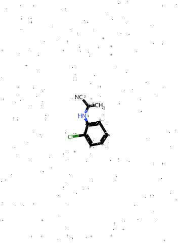 CC(C#N)Nc1ccccc1Cl